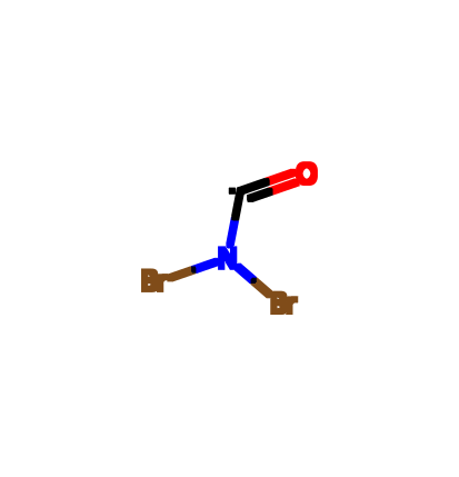 O=[C]N(Br)Br